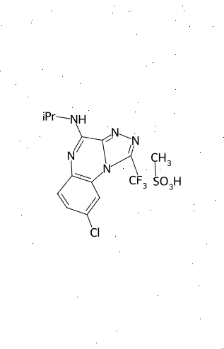 CC(C)Nc1nc2ccc(Cl)cc2n2c(C(F)(F)F)nnc12.CS(=O)(=O)O